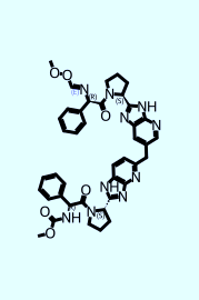 COO/C=N/[C@@H](C(=O)N1CCC[C@H]1c1nc2cc(Cc3ccc4[nH]c([C@@H]5CCCN5C(=O)[C@H](NC(=O)OC)c5ccccc5)nc4n3)cnc2[nH]1)c1ccccc1